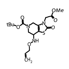 C=CCONC1CN(C(=O)OC(C)(C)C)Cc2c1sc(=O)n2CC(=O)OC